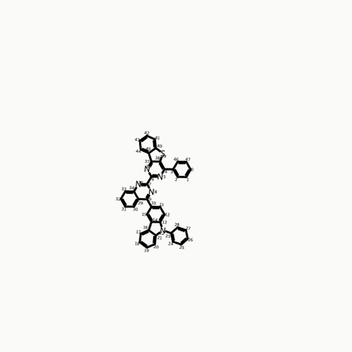 c1ccc(-c2nc(-c3nc(-c4ccc5c(c4)c4ccccc4n5-c4ccccc4)c4ccccc4n3)nc3c2sc2ccccc23)cc1